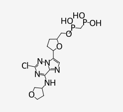 OP(O)CP(O)OCC1CCC(c2cnc3c(NC4CCOC4)nc(Cl)nn23)O1